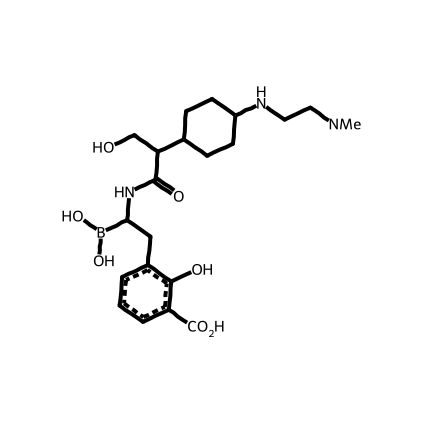 CNCCNC1CCC(C(CO)C(=O)NC(Cc2cccc(C(=O)O)c2O)B(O)O)CC1